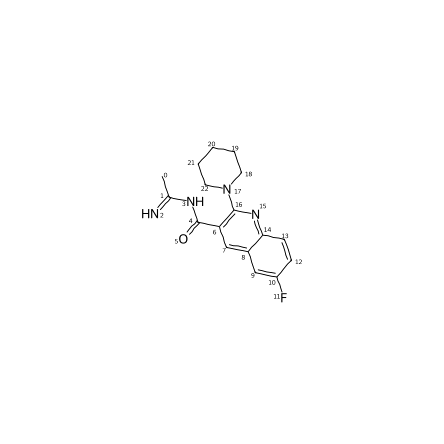 CC(=N)NC(=O)c1cc2cc(F)ccc2nc1N1CCCCC1